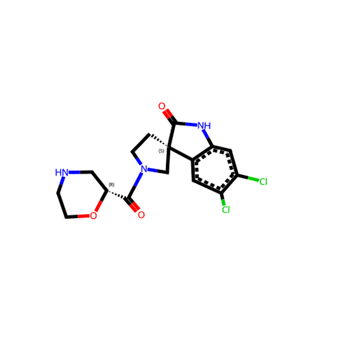 O=C([C@H]1CNCCO1)N1CC[C@]2(C1)C(=O)Nc1cc(Cl)c(Cl)cc12